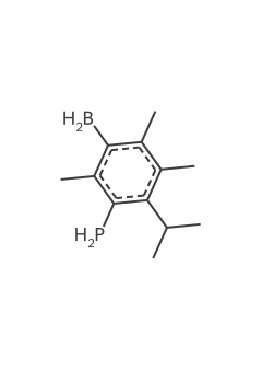 Bc1c(C)c(C)c(C(C)C)c(P)c1C